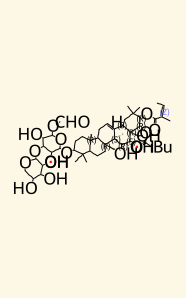 C/C=C(/C)C(=O)O[C@H]1[C@H](OC(=O)C(C)CC)[C@]2(CO)[C@H](O)[C@H](O)[C@]3(C)C(=CCC4[C@@]5(C)CCC(OC6OC(OC=O)C(O)C(OC7OCC(O)C(O)C7O)C6O)C(C)(C)C5CC[C@]43C)[C@@H]2CC1(C)C